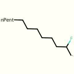 [CH2]C(F)CCCCCCCCCCC